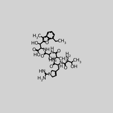 CCc1cccc2c(C)c(C(O)C(NC(=O)C(C)NC(=O)C(C)NC(=O)C(CC3=CCN(C(=N)N)C3)NC(=O)C(N)C(C)O)C(=O)O)oc12